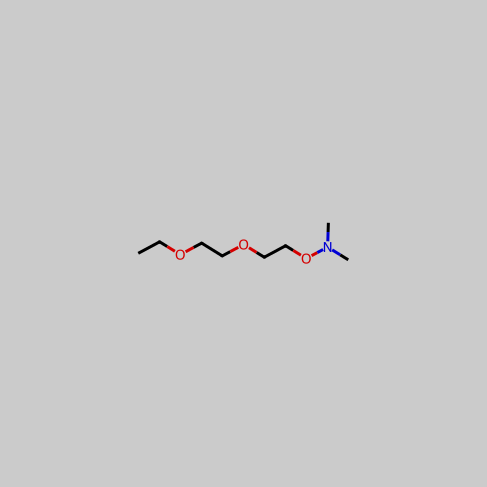 CCOCCOCCON(C)C